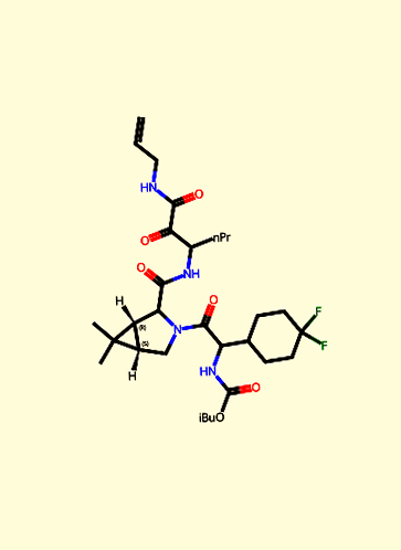 C=CCNC(=O)C(=O)C(CCC)NC(=O)C1[C@@H]2[C@H](CN1C(=O)C(NC(=O)OCC(C)C)C1CCC(F)(F)CC1)C2(C)C